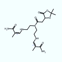 C/C(=C/NCCN(CCN/C=C(/C)C(N)=O)C(=O)CC1OC(C)(C)OC1=O)C(N)=O